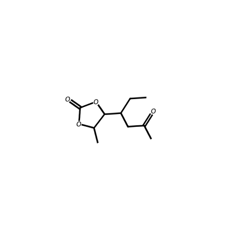 CCC(CC(C)=O)C1OC(=O)OC1C